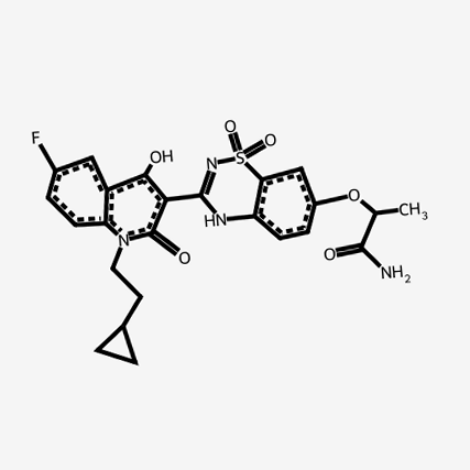 CC(Oc1ccc2c(c1)S(=O)(=O)N=C(c1c(O)c3cc(F)ccc3n(CCC3CC3)c1=O)N2)C(N)=O